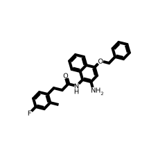 Cc1cc(F)ccc1CCC(=O)Nc1c(N)cc(OCc2ccccc2)c2ccccc12